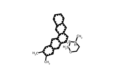 C[SiH]1CCO[SiH2][SiH2]1.Cc1cc2cc3ccc4cc5ccccc5cc4c3cc2cc1C